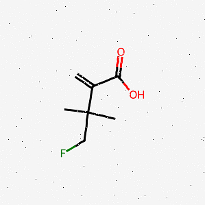 C=C(C(=O)O)C(C)(C)CF